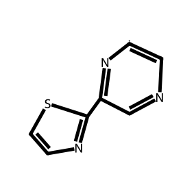 [c]1cncc(-c2nccs2)n1